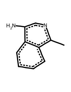 Cc1ncc(N)c2ccccc12